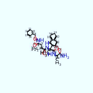 CC(C)C[C@H](CC(=O)NOCc1ccccc1)C(=O)N[C@](C)(C(=O)NC(C)C(N)=O)c1ccc2ccccc2c1